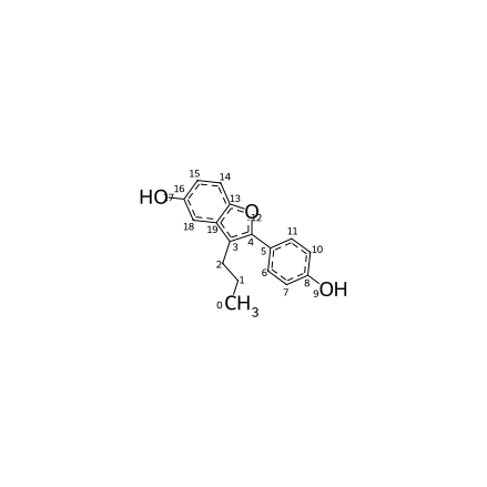 CCCc1c(-c2ccc(O)cc2)oc2ccc(O)cc12